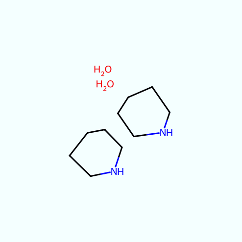 C1CCNCC1.C1CCNCC1.O.O